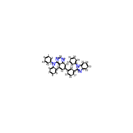 c1ccc(N2c3ccccc3-c3cc(-c4cccc(-c5nc6ccccc6n5-c5ccccc5)c4)cc4ncnc2c34)cc1